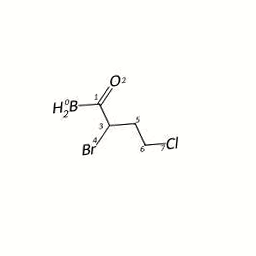 BC(=O)C(Br)CCCl